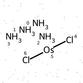 N.N.N.N.[Cl][Os][Cl]